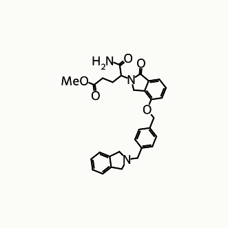 COC(=O)CCC(C(N)=O)N1Cc2c(OCc3ccc(CN4Cc5ccccc5C4)cc3)cccc2C1=O